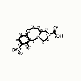 O=C(O)N1CCN2Cc3c(ccc([N+](=O)[O-])c3F)OCCC2C1